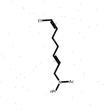 CC/C=C\CC/C=C/CN(CCC)C(C)=O